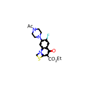 CCOC(=O)c1c2n(c3cc(N4CCN(C(C)=O)CC4)c(F)cc3c1=O)CS2